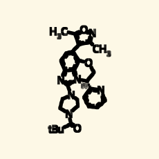 Cc1noc(C)c1-c1ccc2nc(N3CCN(C(=O)C(C)(C)C)CC3)n3c2c1OC[C@@H]3c1ccccn1